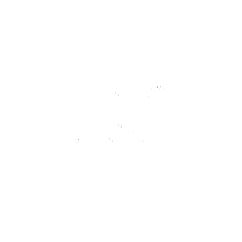 COC(=O)c1ccccc1-c1cc(C#N)cc(N(Cc2ncc(C)c(OC)c2C)C(=O)OC(C)(C)C)c1